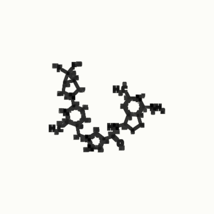 Cc1cc2c(c(N)n1)CCC2NC(=O)c1cnn(Cc2ccc(N3CC4C(C3)C4(F)F)nc2C)c1